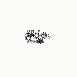 CCOc1ccc(-c2c(F)cc(NC(=O)C3(c4cccc(Cl)c4)CC3)cc2-c2nnn[nH]2)cn1